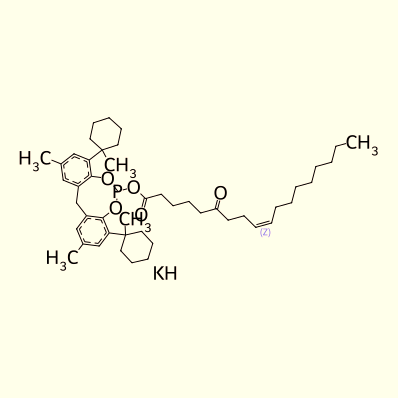 CCCCCCCC/C=C\CCC(=O)CCCCC(=O)OP1Oc2c(cc(C)cc2C2(C)CCCCC2)Cc2cc(C)cc(C3(C)CCCCC3)c2O1.[KH]